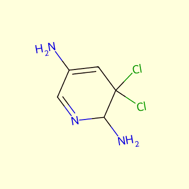 NC1=CC(Cl)(Cl)C(N)N=C1